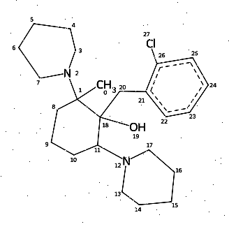 CC1(N2CCCCC2)CCCC(N2CCCCC2)C1(O)Cc1ccccc1Cl